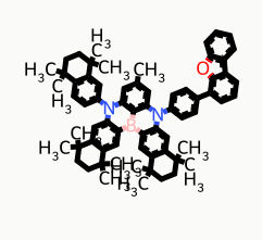 Cc1cc2c3c(c1)N(c1ccc4c(c1)C(C)(C)CCC4(C)C)c1cc4c(cc1B3c1cc3c(cc1N2c1ccc(-c2cccc5c2oc2ccccc25)cc1)C(C)(C)CCC3(C)C)C(C)(C)CCC4(C)C